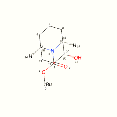 CC(C)(C)OC(=O)N1[C@@H]2CCC[C@H]1[C@H](O)CC2